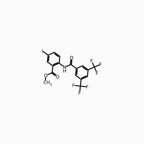 COC(=O)c1cc(I)ccc1NC(=O)c1cc(C(F)(F)F)cc(C(F)(F)F)c1